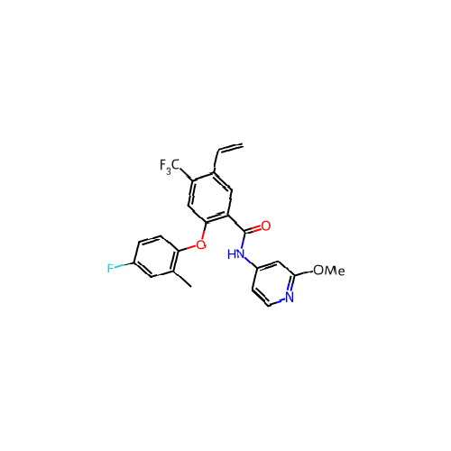 C=Cc1cc(C(=O)Nc2ccnc(OC)c2)c(Oc2ccc(F)cc2C)cc1C(F)(F)F